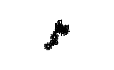 Nc1nnc(Cl)cc1N1C[C@H]2CC[C@@H](C1)N2c1cccc(OCCN2CCN(C(=O)OCc3ccccc3)CC2)c1F